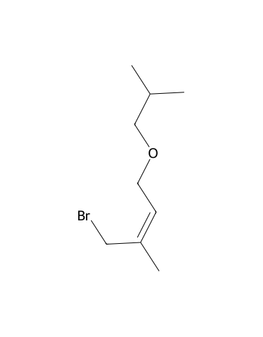 CC(=CCOCC(C)C)CBr